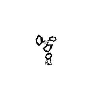 c1ccc(N(c2ccccc2)c2ccccc2)cc1.c1ccc2scnc2c1